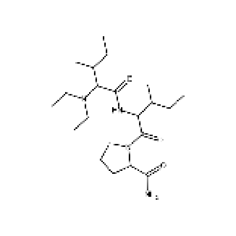 CCC(C)C(NC(=O)C(C(C)CC)N(CC)CC)C(=O)N1CCCC1C(N)=O